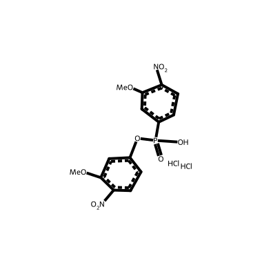 COc1cc(OP(=O)(O)c2ccc([N+](=O)[O-])c(OC)c2)ccc1[N+](=O)[O-].Cl.Cl